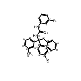 O=C(Nc1cccc(F)c1)NC(Cc1ccccc1)(c1cccc(C(F)(F)F)c1)c1ccc(Br)cn1